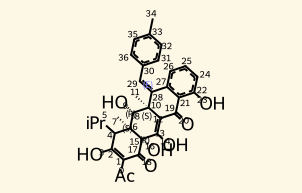 CC(=O)C1=C(O)C(C(C)C)[C@@]2(C)[C@H](O)[C@]3(C)C(=C(O)[C@@]2(O)C1=O)C(=O)c1c(O)cccc1/C3=C\c1ccc(C)cc1